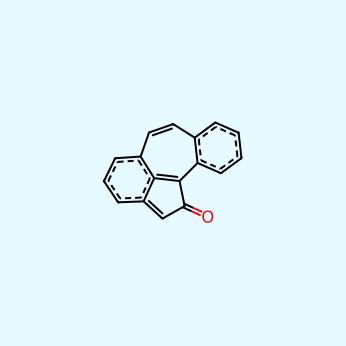 O=C1C=c2cccc3c2=C1c1ccccc1C=C3